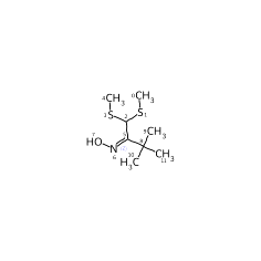 CSC(SC)/C(=N\O)C(C)(C)C